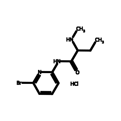 CCC(NC)C(=O)Nc1cccc(Br)n1.Cl